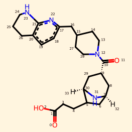 O=C(O)CCC1C[C@@H]2C[C@@H](C(=O)N3CCC(Cc4ccc5c(n4)NCCC5)CC3)C[C@H]1N2